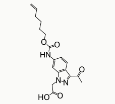 C=CCCCCOC(=O)Nc1ccc2c(C(C)=O)nn(CC(=O)O)c2c1